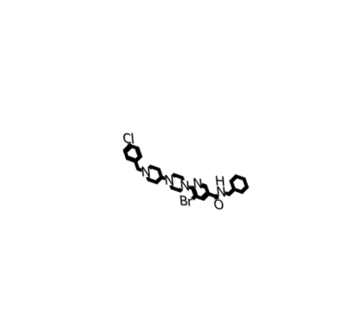 O=C(NCC1CCCCC1)c1cnc(N2CCN(C3CCN(Cc4ccc(Cl)cc4)CC3)CC2)c(Br)c1